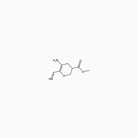 COC(=O)C1COC(C=N)=C(N)C1